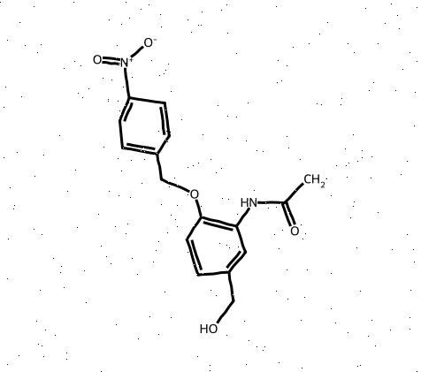 [CH2]C(=O)Nc1cc(CO)ccc1OCc1ccc([N+](=O)[O-])cc1